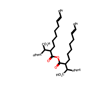 CCC/C=C/CCCCCC(C(=O)OC(=O)C(CCCCC/C=C/CCC)C(CCCCC)C(=O)O)C(CCCCC)C(=O)O